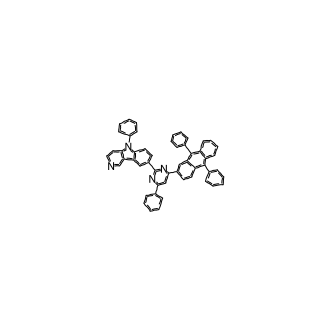 c1ccc(-c2cc(-c3ccc4c(-c5ccccc5)c5ccccc5c(-c5ccccc5)c4c3)nc(-c3ccc4c(c3)c3cnccc3n4-c3ccccc3)n2)cc1